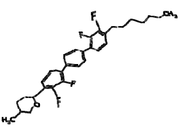 CCCCCCCc1ccc(-c2ccc(-c3ccc(C4CCC(C)CO4)c(F)c3F)cc2)c(F)c1F